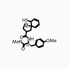 CNC(=O)[C@H](Cc1ccc(OC)cc1)NC(=O)C(CC(C)C)CC1(C(C)=O)C=CC=CC1S